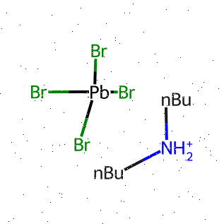 CCCC[NH2+]CCCC.[Br][Pb]([Br])([Br])[Br]